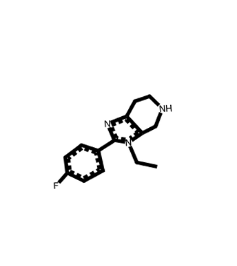 CCn1c(-c2ccc(F)cc2)nc2c1CNCC2